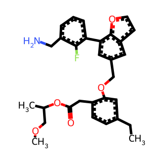 CCc1ccc(CC(=O)OC(C)COC)c(OCc2cc(-c3cccc(CN)c3F)c3occc3c2)c1